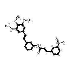 COc1cc(/C=C/c2cccc(NC(=O)/C=C/c3cccc([N+](=O)[O-])c3)c2)cc(OC)c1OC